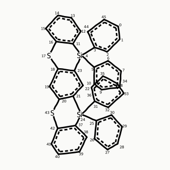 c1ccc([Si]2(c3ccccc3)c3ccccc3Sc3cc4c(cc32)[Si](c2ccccc2)(c2ccccc2)c2ccccc2S4)cc1